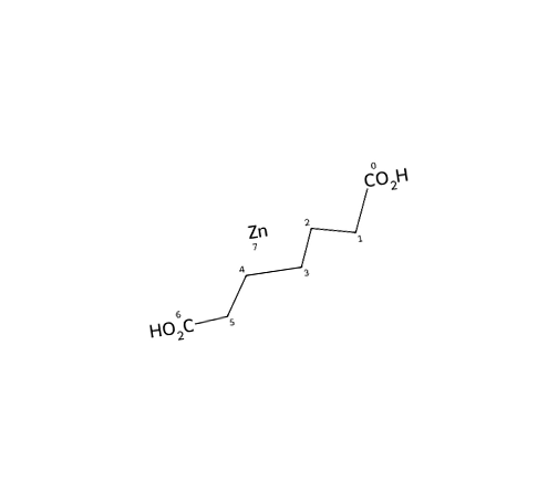 O=C(O)CCCCCC(=O)O.[Zn]